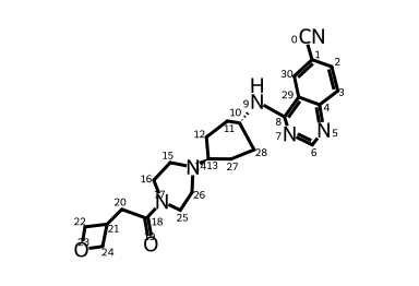 N#Cc1ccc2ncnc(N[C@H]3CC[C@H](N4CCN(C(=O)CC5COC5)CC4)CC3)c2c1